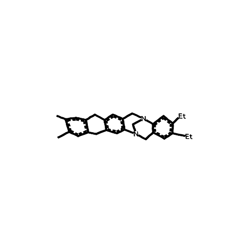 CCc1cc2c(cc1CC)N1Cc3cc4c(cc3N(C2)C1)Cc1cc(C)c(C)cc1C4